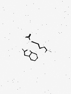 N=C(N)NCCC[C@H](N)C(=O)O.O=C(O)C1CC2CCCCC2N1